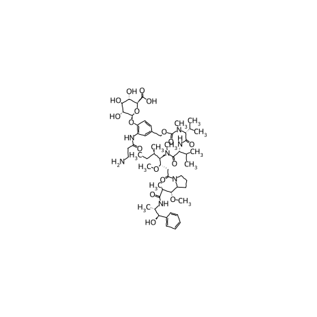 CC[C@@H](C)[C@H]([C@H](CC(=O)N1CCCC1[C@H](OC)[C@H](C)C(=O)N[C@@H](C)[C@H](O)c1ccccc1)OC)N(C)C(=O)[C@H](NC(=O)[C@@H](C(C)C)N(C)C(=O)OCc1ccc(O[C@@H]2O[C@H](C(=O)O)[C@@H](O)[C@H](O)[C@H]2O)c(NC(=O)CCN)c1)C(C)C